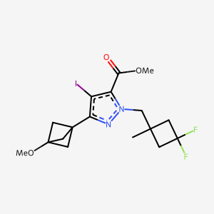 COC(=O)c1c(I)c(C23CC(OC)(C2)C3)nn1CC1(C)CC(F)(F)C1